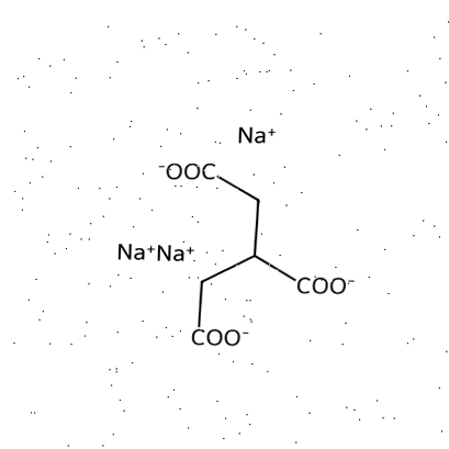 O=C([O-])CC(CC(=O)[O-])C(=O)[O-].[Na+].[Na+].[Na+]